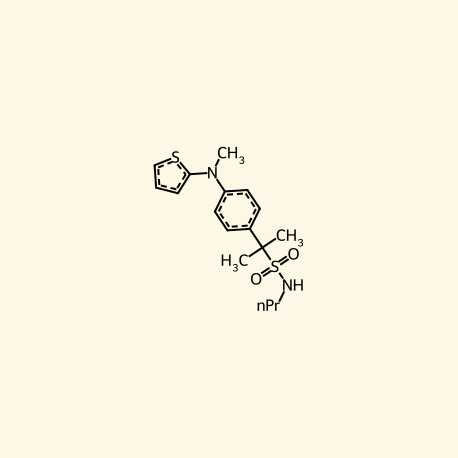 CCCNS(=O)(=O)C(C)(C)c1ccc(N(C)c2cccs2)cc1